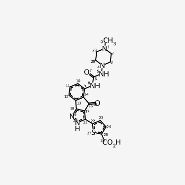 CN1CCN(NC(=O)Nc2cccc3c2C(=O)c2c-3n[nH]c2-c2ccc(C(=O)O)s2)CC1